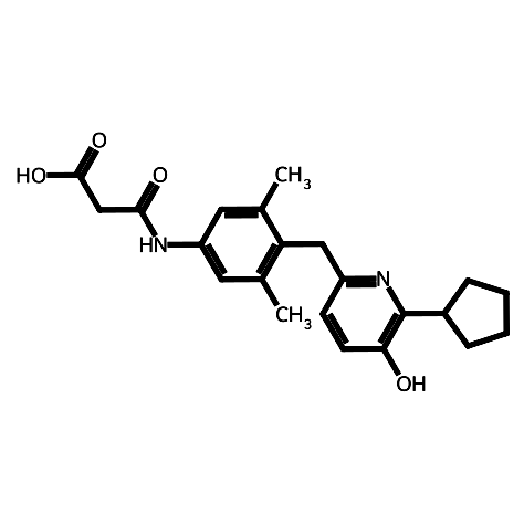 Cc1cc(NC(=O)CC(=O)O)cc(C)c1Cc1ccc(O)c(C2CCCC2)n1